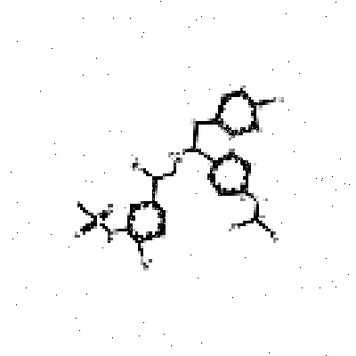 CS(=O)(=O)Nc1cc(C(O)CNC(Cc2ccc(F)cc2)c2ccc(OC(F)F)cc2)ccc1O